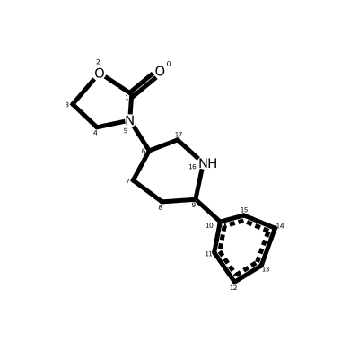 O=C1OCCN1C1CCC(c2ccccc2)NC1